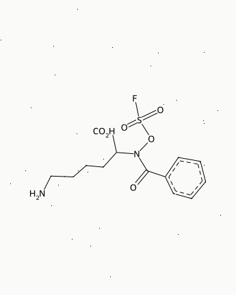 NCCCCC(C(=O)O)N(OS(=O)(=O)F)C(=O)c1ccccc1